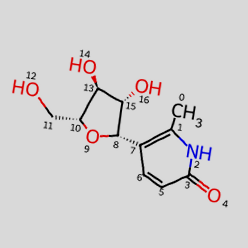 Cc1[nH]c(=O)ccc1[C@@H]1O[C@H](CO)[C@@H](O)[C@@H]1O